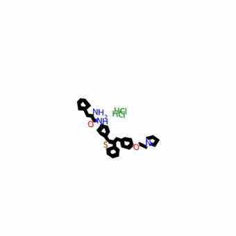 Cl.Cl.N[C@@H](Cc1ccccc1)C(=O)Nc1ccc(-c2sc3ccccc3c2Cc2ccc(OCCN3CCCC3)cc2)cc1